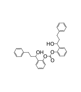 O=C(Oc1ccccc1C(O)CCc1ccccc1)Oc1ccccc1C(O)CCc1ccccc1